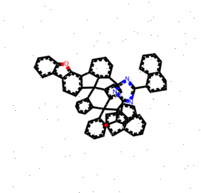 c1ccc2c(c1)-c1ccccc1C21c2ccccc2C2(c3ccccc31)c1ccc3c(oc4ccccc43)c1-c1cccc(-c3nc(-c4cccc5ccccc45)nc(-c4cccc5ccccc45)n3)c12